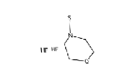 F.F.[S]N1CCOCC1